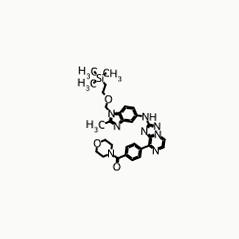 Cc1nc2cc(Nc3nc4c(-c5ccc(C(=O)N6CCOCC6)cc5)nccn4n3)ccc2n1COCC[Si](C)(C)C